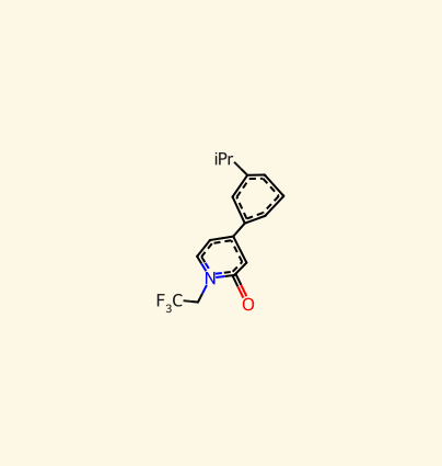 CC(C)c1cccc(-c2ccn(CC(F)(F)F)c(=O)c2)c1